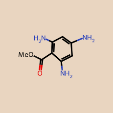 COC(=O)c1c(N)cc(N)cc1N